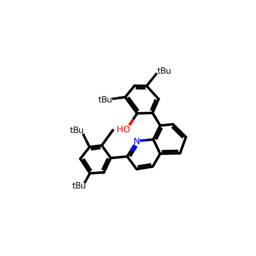 Cc1c(-c2ccc3cccc(-c4cc(C(C)(C)C)cc(C(C)(C)C)c4O)c3n2)cc(C(C)(C)C)cc1C(C)(C)C